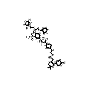 CC1(C)CCC(CNCCNc2ccc(C(=O)NS(=O)(=O)c3ccc(N[C@H](CCN4C[C@@H]5C[C@H]4CO5)CSc4ccccc4)c(S(=O)(=O)C(F)(F)F)c3)cc2)=C(c2ccc(Cl)cc2)C1